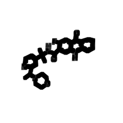 CC(c1cc(C(C)(C)NC(=O)c2cc3[nH]c4ccccc4c(=O)c3cc2F)ccn1)N1CCOCC1